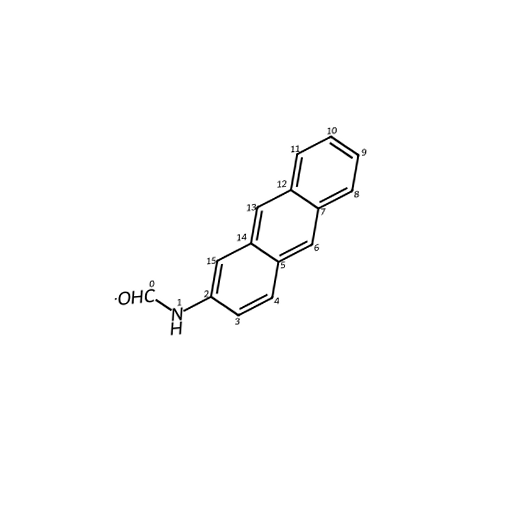 O=[C]Nc1ccc2cc3ccccc3cc2c1